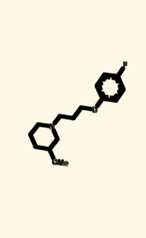 COC1[CH]CCN(CCCOc2ccc(F)cc2)C1